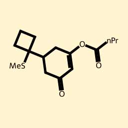 CCCC(=O)OC1=CC(=O)CC(C2(SC)CCC2)C1